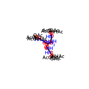 CC(=O)NC1C(OCCCC(=O)NCCCCCCNC(=O)OCCCC(N)(CCCOC(=O)NCCCCCCNC(=O)CCCOC2OC(COC(C)=O)C(OC(C)=O)C(OC(C)=O)C2NC(C)=O)COCCC(=O)OC(=O)NCCCCCCNC(=O)CCCOC2OC(COC(C)=O)C(OC(C)=O)C(OC(C)=O)C2NC(C)=O)OC(COC(C)=O)C(OC(C)=O)C1OC(C)=O